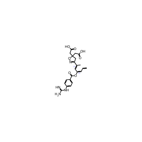 C=C/C=C(\C=C(/C)C1=NOC(CC(=O)O)(CC(=O)O)C1)OC(=O)c1ccc(NC(=N)N)cc1